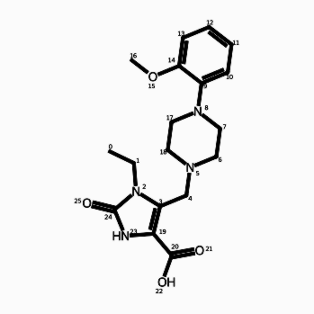 CCn1c(CN2CCN(c3ccccc3OC)CC2)c(C(=O)O)[nH]c1=O